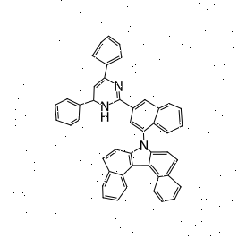 C1=C(c2ccccc2)N=C(c2cc(-n3c4ccc5ccccc5c4c4c5ccccc5ccc43)c3ccccc3c2)NC1c1ccccc1